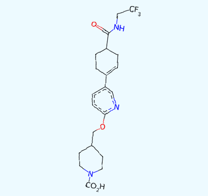 O=C(NCC(F)(F)F)C1CC=C(c2ccc(OCC3CCN(C(=O)O)CC3)nc2)CC1